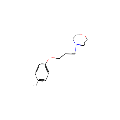 CC(=O)c1ccc(OCCCN2CCOCC2)cc1